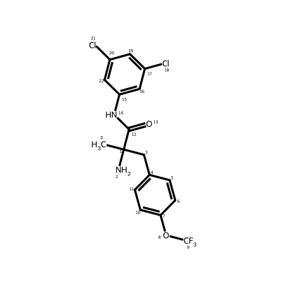 CC(N)(Cc1ccc(OC(F)(F)F)cc1)C(=O)Nc1cc(Cl)cc(Cl)c1